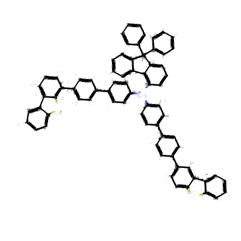 c1ccc(C2(c3ccccc3)c3ccccc3-c3c(N(c4ccc(-c5ccc(-c6ccc7sc8ccccc8c7c6)cc5)cc4)c4ccc(-c5ccc(-c6cccc7c6sc6ccccc67)cc5)cc4)cccc32)cc1